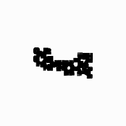 CCN1C(=O)OCc2cnc(NCc3ccc(C(CC4CC4)N4CCNCC4)cc3)nc21